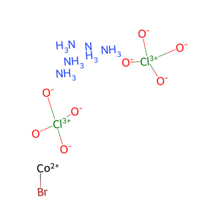 N.N.N.N.N.[Co+2][Br].[O-][Cl+3]([O-])([O-])[O-].[O-][Cl+3]([O-])([O-])[O-]